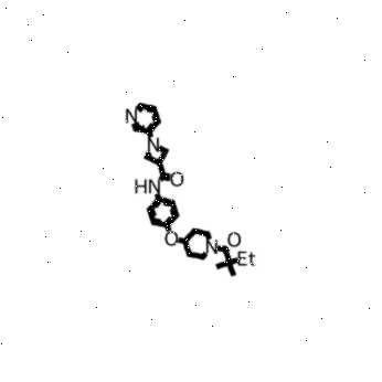 CCC(C)(C)C(=O)N1CCC(Oc2ccc(NC(=O)C3CN(c4cccnc4)C3)cc2)CC1